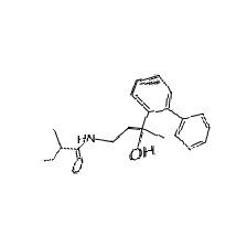 CC(C)C(=O)NCCC(C)(O)c1ccccc1-c1ccccc1